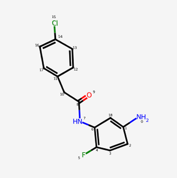 Nc1ccc(F)c(NC(=O)Cc2ccc(Cl)cc2)c1